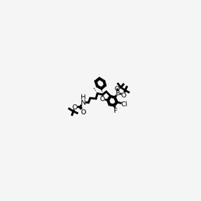 C[C@@H](CCCNC(=O)OC(C)(C)C)[C@@]1(c2ccccc2)Cc2c(cc(F)c(Cl)c2B2OC(C)(C)C(C)(C)O2)O1